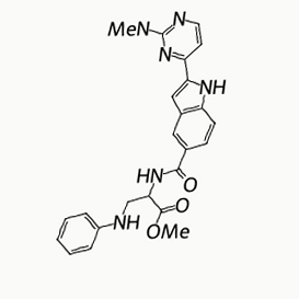 CNc1nccc(-c2cc3cc(C(=O)NC(CNc4ccccc4)C(=O)OC)ccc3[nH]2)n1